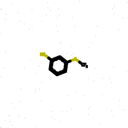 FC(F)(F)Sc1cccc(S)c1